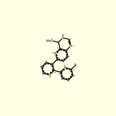 COC1NC=Nc2ccc(-c3cccnc3-c3cccc(C)n3)nc21